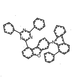 c1ccc(-c2nc(-c3ccccc3)nc(-c3cccc4oc5cc(-n6c7ccccc7c7cccc(-c8ccccc8)c76)ccc5c34)n2)cc1